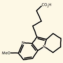 COc1ccc2c(n1)c(CCCC(=O)O)c1n2CCCC1